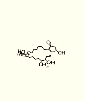 COCCCCC(C)[C@H](O)/C=C/[C@H]1[C@H](O)CC(=O)[C@@H]1C/C=C\CCCC(=O)O